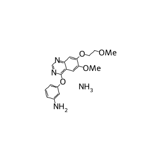 COCCOc1cc2ncnc(Oc3cccc(N)c3)c2cc1OC.N